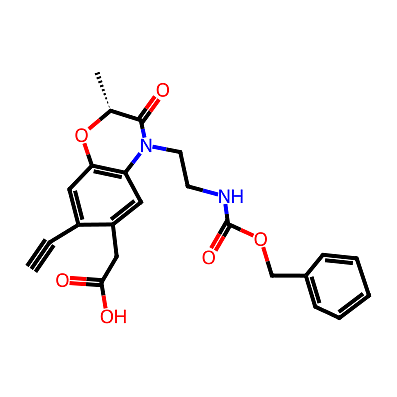 C#Cc1cc2c(cc1CC(=O)O)N(CCNC(=O)OCc1ccccc1)C(=O)[C@@H](C)O2